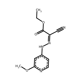 CCOC(=O)C(C#N)=NNc1ccnc(OC)c1